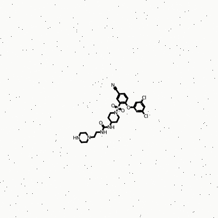 N#Cc1ccc(Oc2cc(Cl)cc(Cl)c2)c(S(=O)(=O)N2CCC(NC(=O)NCCN3CCNCC3)CC2)c1